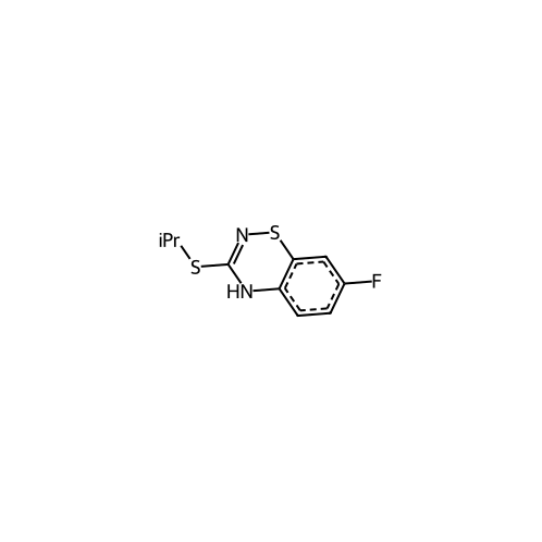 CC(C)SC1=NSc2cc(F)ccc2N1